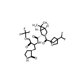 CC1(C)[C@@H]2[C@@H](C(=O)NC(C[C@@H]3CCNC3=O)C(=O)COC(F)(F)F)N(C(=O)C34CC(C(F)F)(CO3)C4)C[C@@H]21